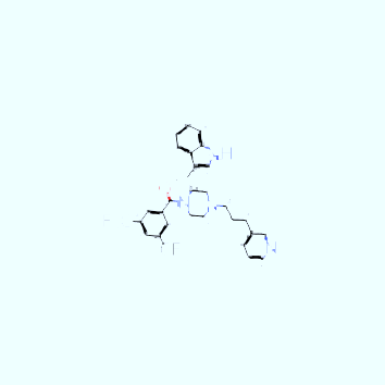 O=C(c1cc(C(F)(F)F)cc(C(F)(F)F)c1)N1CCN(CCCc2cccnc2)C[C@H]1Cc1c[nH]c2ccccc12